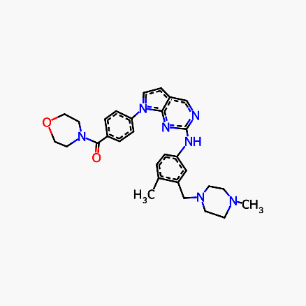 Cc1ccc(Nc2ncc3ccn(-c4ccc(C(=O)N5CCOCC5)cc4)c3n2)cc1CN1CCN(C)CC1